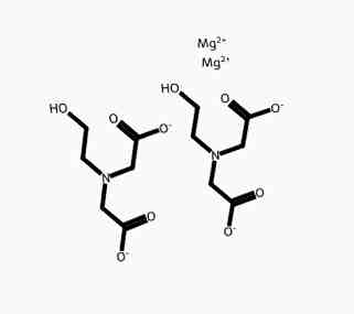 O=C([O-])CN(CCO)CC(=O)[O-].O=C([O-])CN(CCO)CC(=O)[O-].[Mg+2].[Mg+2]